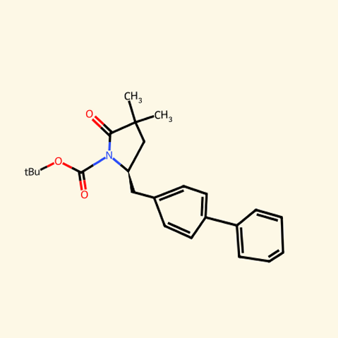 CC(C)(C)OC(=O)N1C(=O)C(C)(C)C[C@H]1Cc1ccc(-c2ccccc2)cc1